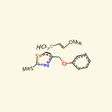 COC=CC(=O)O.CSc1nc(COc2ccccc2)cs1